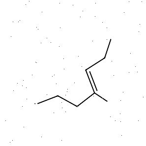 [CH2]CCC(C)=CCC